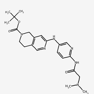 CN(C)CC(=O)Nc1ccc(Nc2cc3c(cn2)CCN(C(=O)OC(C)(C)C)C3)cn1